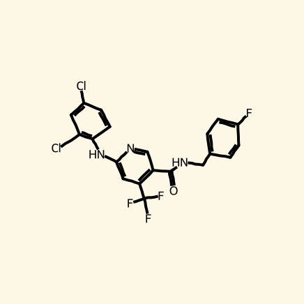 O=C(NCc1ccc(F)cc1)c1cnc(Nc2ccc(Cl)cc2Cl)cc1C(F)(F)F